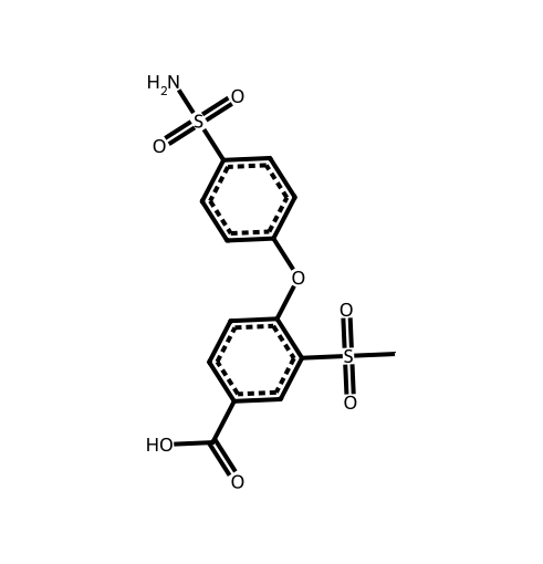 CS(=O)(=O)c1cc(C(=O)O)ccc1Oc1ccc(S(N)(=O)=O)cc1